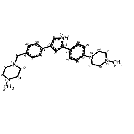 CN1CCN(Cc2ccc(-c3c[nH]c(-c4ccc(N5CCN(C)CC5)cc4)c3)cc2)CC1